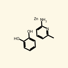 Cc1cccc(N)n1.Oc1ccccc1O.[Zn]